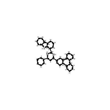 c1ccc(-c2cc(-c3ccc4c5ccccc5c5ccccc5c4c3)nc(-c3cccc4c3sc3ccccc34)n2)cc1